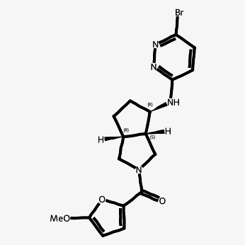 COc1ccc(C(=O)N2C[C@@H]3CC[C@@H](Nc4ccc(Br)nn4)[C@@H]3C2)o1